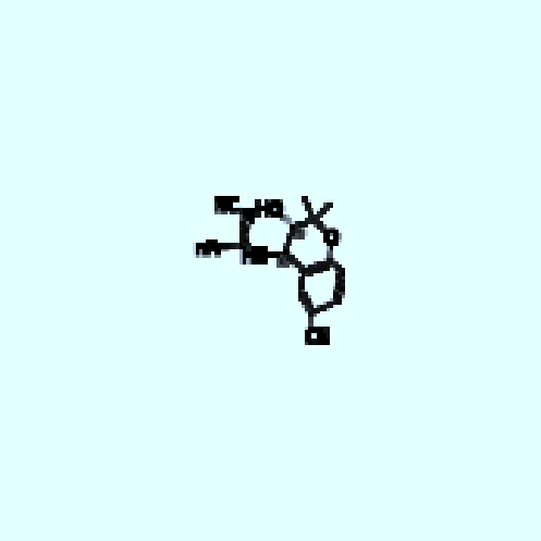 CCCC(=NC#N)N[C@@H]1c2cc(C#N)ccc2OC(C)(C)[C@H]1O